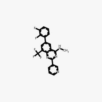 CNc1nc(-c2cccnc2)nc2c(C(F)(F)F)cc(-c3cccc(F)c3F)cc12